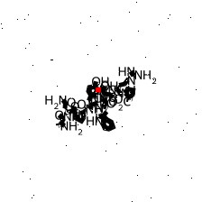 C[C@H](N)C(=O)N[C@@H](CC(N)=O)C(=O)N1CCC[C@H]1C(=O)N[C@@H](Cc1ccc(O)cc1)C(=O)N[C@@H](Cc1c[nH]c2ccccc12)C(=O)N[C@H](C(=O)N[C@@H](CCCNC(=N)N)C(=O)N1CCC[C@H]1C(=O)O)[C@@H](C)O